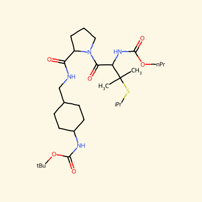 CCCOC(=O)NC(C(=O)N1CCCC1C(=O)NCC1CCC(NC(=O)OC(C)(C)C)CC1)C(C)(C)SC(C)C